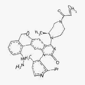 C=CC(=O)N1CCN(c2nc(=O)n(-c3c(C)ccnc3C(C)C)c3cc4c(cc23)OCc2cccc(NN)c2-4)[C@@H](C)C1